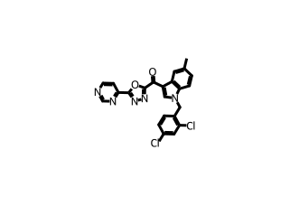 Cc1ccc2c(c1)c(C(=O)c1nnc(-c3ccncn3)o1)cn2Cc1ccc(Cl)cc1Cl